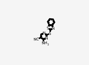 N#Cc1cnc(Sc2nc3ccccc3s2)nc1N